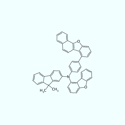 CC1(C)c2ccccc2-c2ccc(N(c3ccc(-c4cccc5oc6c7ccccc7ccc6c45)cc3)c3cccc4oc5ccccc5c34)cc21